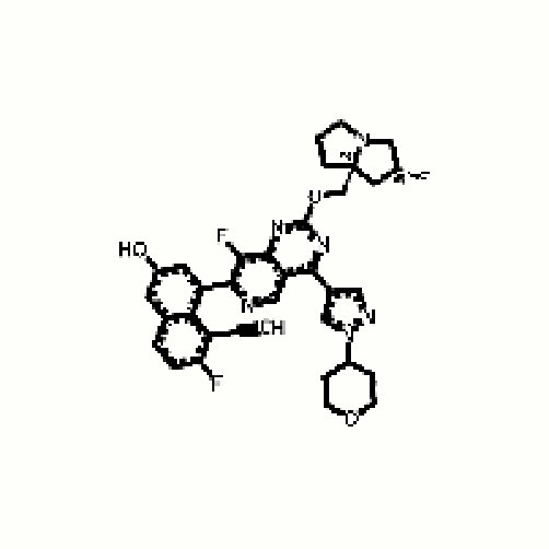 C#Cc1c(F)ccc2cc(O)cc(-c3ncc4c(-c5cnn(C6CCOCC6)c5)nc(OC[C@@]56CCCN5C[C@H](F)C6)nc4c3F)c12